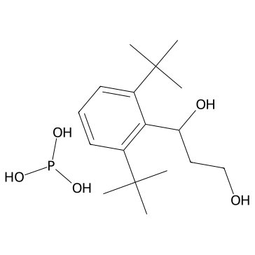 CC(C)(C)c1cccc(C(C)(C)C)c1C(O)CCO.OP(O)O